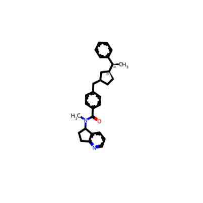 C[C@H](c1ccccc1)[C@H]1CCC(Cc2ccc(C(=O)N(C)C3CCc4ncccc43)cc2)C1